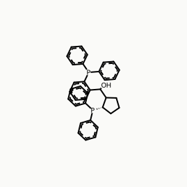 O[C@@H](c1ccccc1P(c1ccccc1)c1ccccc1)C1CCC[C@@H]1P(c1ccccc1)c1ccccc1